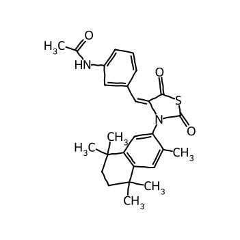 CC(=O)Nc1cccc(C=C2C(=O)SC(=O)N2c2cc3c(cc2C)C(C)(C)CCC3(C)C)c1